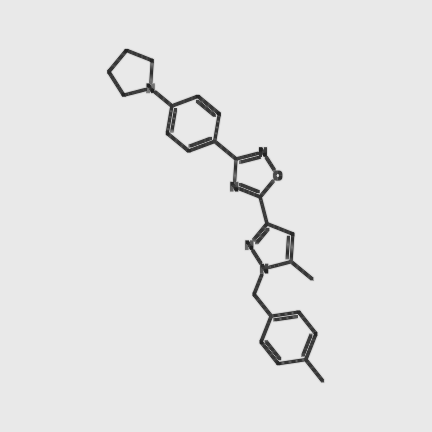 Cc1ccc(Cn2nc(-c3nc(-c4ccc(N5CCCC5)cc4)no3)cc2C)cc1